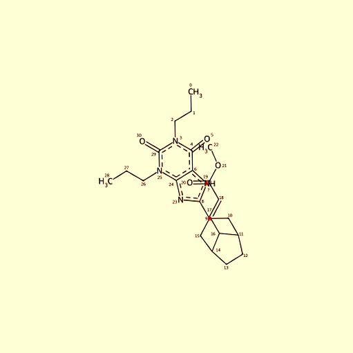 CCCn1c(=O)c2[nH]c(C3CC4CCC(C3)C4/C=C/C(=O)OC)nc2n(CCC)c1=O